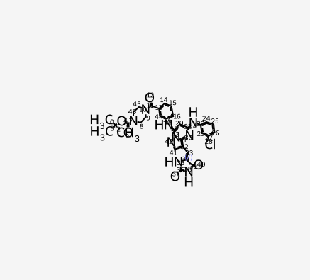 CC(C)(C)OC(=O)N1CCN(C(=O)c2cccc(Nc3cc(Nc4cccc(Cl)c4)nc4c(/C=C5\NC(=O)NC5=O)cnn34)c2)CC1